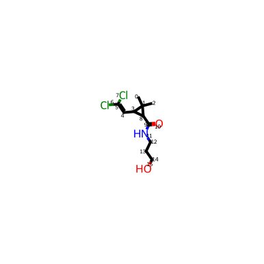 CC1(C)C(C=C(Cl)Cl)C1C(=O)NCCCO